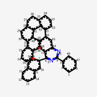 c1ccc(-c2nc(-c3ccc4ccccc4c3)c3ccc(-c4cccc5ccc6ccc7c8ccccc8ccc7c6c45)cc3n2)cc1